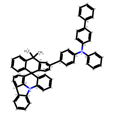 CC1(C)c2ccccc2C2(c3ccccc3-n3c4ccccc4c4cccc2c43)c2ccc(-c3ccc(N(c4ccccc4)c4ccc(-c5ccccc5)cc4)cc3)cc21